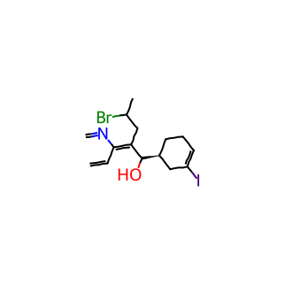 C=C/C(N=C)=C(/CC(C)Br)C(O)[C@H]1CCC=C(I)C1